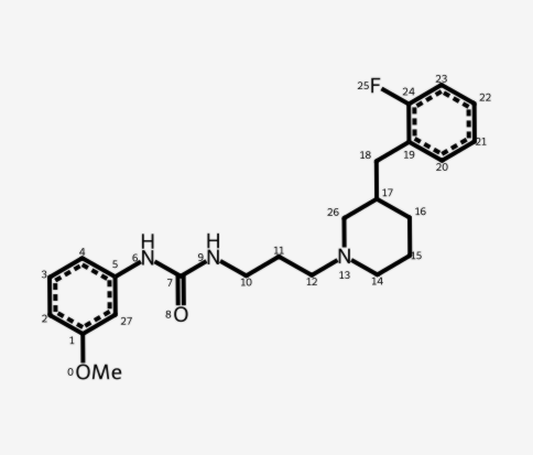 COc1cccc(NC(=O)NCCCN2CCCC(Cc3ccccc3F)C2)c1